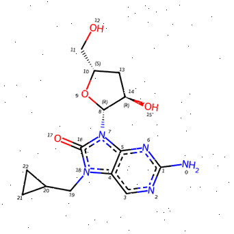 Nc1ncc2c(n1)n([C@@H]1O[C@H](CO)C[C@H]1O)c(=O)n2CC1CC1